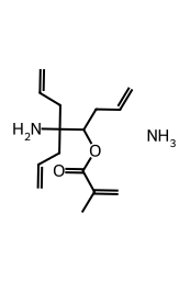 C=CCC(OC(=O)C(=C)C)C(N)(CC=C)CC=C.N